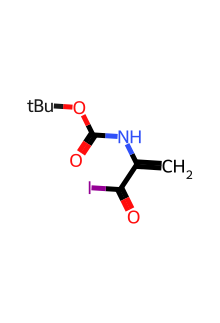 C=C(NC(=O)OC(C)(C)C)C(=O)I